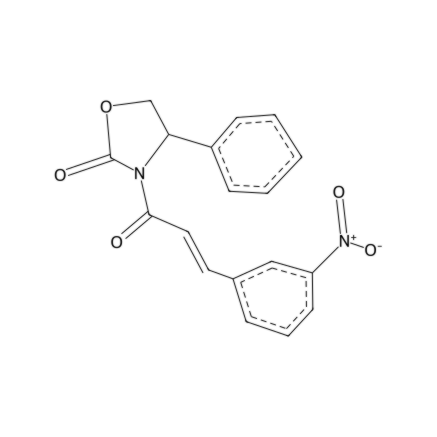 O=C(/C=C/c1cccc([N+](=O)[O-])c1)N1C(=O)OCC1c1ccccc1